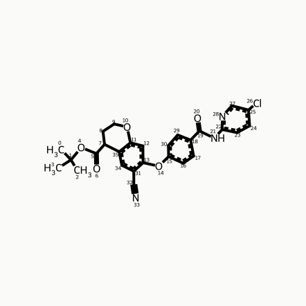 CC(C)(C)OC(=O)C1CCOc2cc(Oc3ccc(C(=O)Nc4ccc(Cl)cn4)cc3)c(C#N)cc21